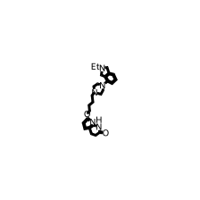 CCN1Cc2cccc(N3CCN(CCCCOc4ccc5c(n4)NC(=O)CC5)CC3)c2C1